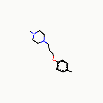 [CH2]c1ccc(OCCCN2CCN(C)CC2)cc1